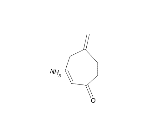 C=C1CC=CC(=O)CC1.N